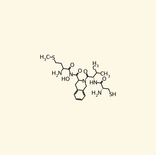 CSCCC(N)C(=O)N(O)C(=O)C1Cc2ccccc2CN1C(=O)[C@@H](NC(=O)[C@@H](N)CS)C(C)C